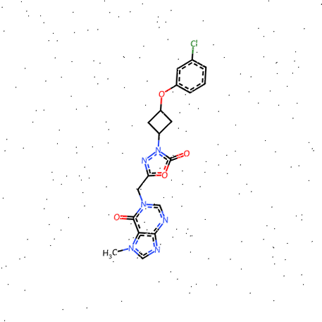 Cn1cnc2ncn(Cc3nn(C4CC(Oc5cccc(Cl)c5)C4)c(=O)o3)c(=O)c21